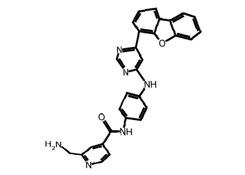 NCc1cc(C(=O)Nc2ccc(Nc3cc(-c4cccc5c4oc4ccccc45)ncn3)cc2)ccn1